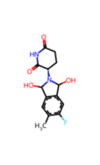 Cc1cc2c(cc1F)C(O)N([C@@H]1CCC(=O)NC1=O)C2O